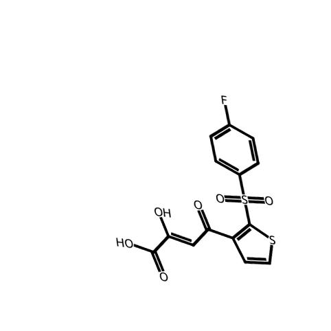 O=C(O)/C(O)=C/C(=O)c1ccsc1S(=O)(=O)c1ccc(F)cc1